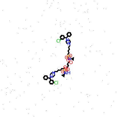 O=C(/C=C/C(=O)ON(C1CC1)S(=O)(=O)CCCCCCN1CCN(C(c2ccccc2)c2cccc(Cl)c2)CC1)OC(CCCCCN1CCN(C(c2ccccc2)c2cccc(Cl)c2)CC1)S(=O)(=O)NC1CC1